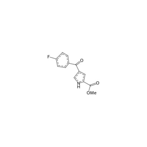 COC(=O)c1cc(C(=O)c2ccc(F)cc2)c[nH]1